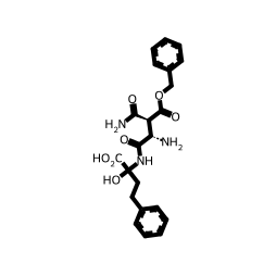 NC(=O)[C@@H](C(=O)OCc1ccccc1)[C@H](N)C(=O)NC(O)(CCc1ccccc1)C(=O)O